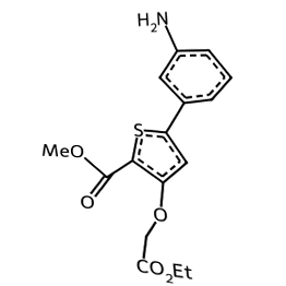 CCOC(=O)COc1cc(-c2cccc(N)c2)sc1C(=O)OC